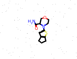 NC(=O)C1COCCN1c1cc2c(s1)CCC2